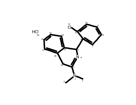 CN(C)C1=NC(c2ccccc2Cl)c2ccccc2C1.Cl